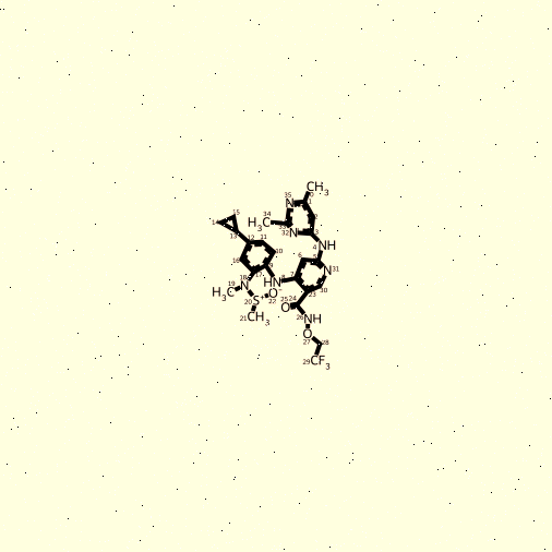 Cc1cc(Nc2cc(Nc3ccc(C4CC4)cc3N(C)[S+](C)[O-])c(C(=O)NOCC(F)(F)F)cn2)nc(C)n1